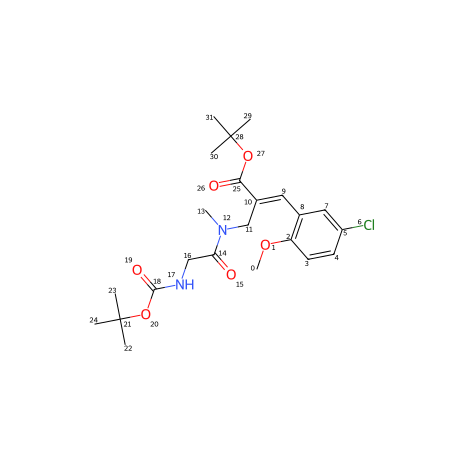 COc1ccc(Cl)cc1C=C(CN(C)C(=O)CNC(=O)OC(C)(C)C)C(=O)OC(C)(C)C